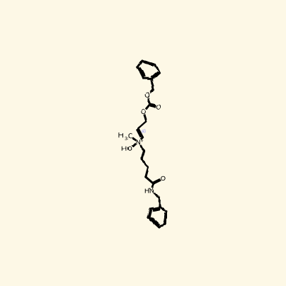 C[N+](O)(/C=C/COC(=O)OCc1ccccc1)CCCCC(=O)NCc1ccccc1